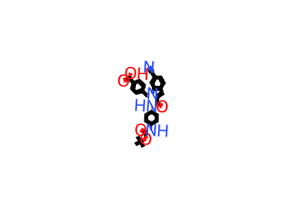 CC(C)(C)OC(=O)N[C@H]1CC[C@H](NC(=O)c2cc3ccc(C#N)cc3n2Cc2ccc(C(=O)O)cc2)CC1